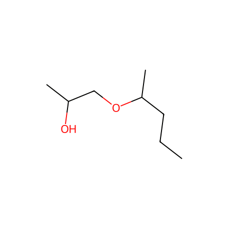 CCCC(C)OCC(C)O